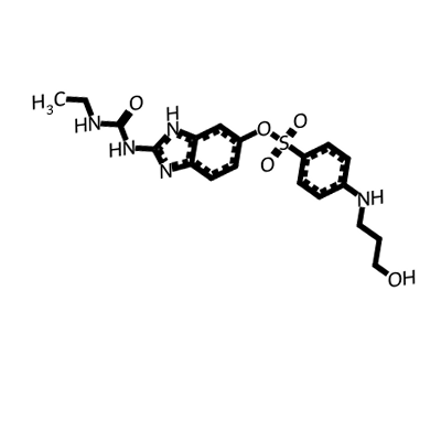 CCNC(=O)Nc1nc2ccc(OS(=O)(=O)c3ccc(NCCCO)cc3)cc2[nH]1